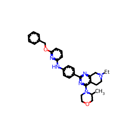 CCN1CCc2c(nc(-c3ccc(Nc4cccc(OCc5ccccc5)n4)cc3)nc2N2CCOCC2C)C1